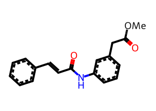 COC(=O)Cc1cccc(NC(=O)C=Cc2ccccc2)c1